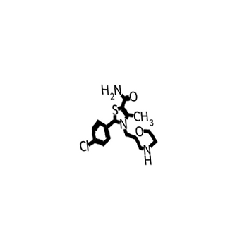 CC1=C(C(N)=O)SC(c2ccc(Cl)cc2)N1CC1CNCCO1